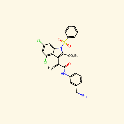 C=C(C(=O)Nc1cccc(CN)c1)c1c(C(=O)OCC)n(S(=O)(=O)c2ccccc2)c2cc(Cl)cc(Cl)c12